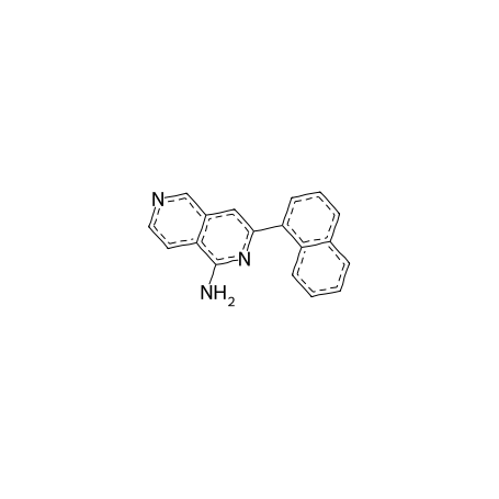 Nc1nc(-c2cccc3ccccc23)cc2cnccc12